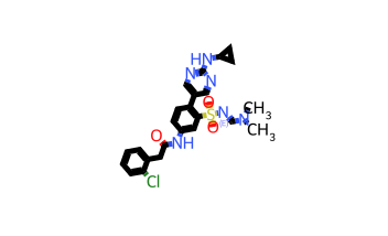 CN(C)/C=N/S(=O)(=O)c1cc(NC(=O)Cc2ccccc2Cl)ccc1-c1cnc(NC2CC2)nc1